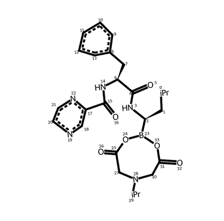 CC(C)C[C@H](NC(=O)[C@H](Cc1ccccc1)NC(=O)c1cnccn1)B1OC(=O)CN(C(C)C)CC(=O)O1